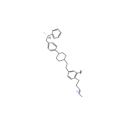 C/C=C/CCc1ccc(CCC2CCC(c3ccc(C[C@H](C)c4ccccc4)cc3)CC2)cc1F